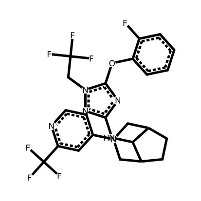 Fc1ccccc1Oc1nc(NC2C3CCC2CN(c2ccnc(C(F)(F)F)c2)C3)nn1CC(F)(F)F